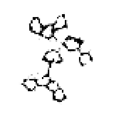 c1ccc(-c2cccc(N(c3ccc(-c4cc5ccccc5c5c4oc4ccccc45)cc3)c3cc4ccccc4c4ccccc34)c2)cc1